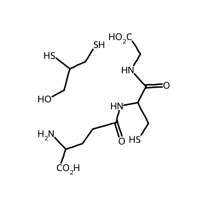 NC(CCC(=O)NC(CS)C(=O)NCC(=O)O)C(=O)O.OCC(S)CS